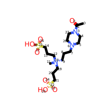 CC(=O)N1CCN(CCC[N+](C)(CCCS(=O)(=O)O)CCCS(=O)(=O)O)CC1